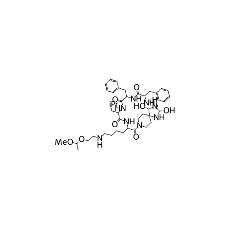 COC(C)OCCNCCCCC(NC(=O)C(CC(C)C)NC(=O)C(Cc1ccccc1)NC(=O)C(N)Cc1ccccc1)C(=O)N1CCC2(CC1)NC(O)NC2O